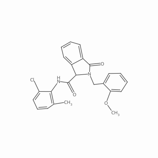 COc1ccccc1CN1C(=O)c2ccccc2C1C(=O)Nc1c(C)cccc1Cl